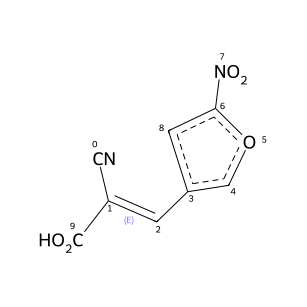 N#C/C(=C\c1coc([N+](=O)[O-])c1)C(=O)O